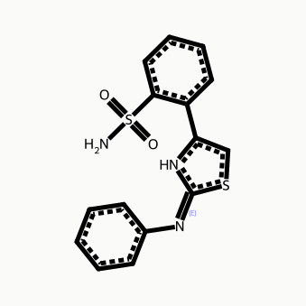 NS(=O)(=O)c1ccccc1-c1cs/c(=N/c2ccccc2)[nH]1